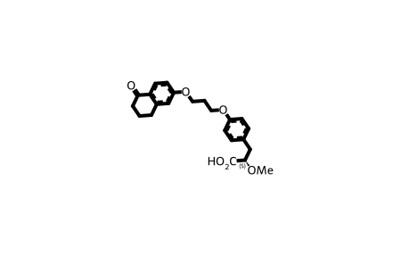 CO[C@@H](Cc1ccc(OCCCOc2ccc3c(c2)CCCC3=O)cc1)C(=O)O